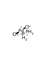 P.P.[Cl][Pd][Cl]